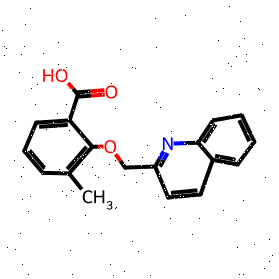 Cc1cccc(C(=O)O)c1OCc1ccc2ccccc2n1